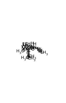 COc1ccc(F)c(OC)c1-c1cn(COCC[Si](C)(C)C)c2nc(NC(=O)NCCN3CCN(C)CC3)ccc12